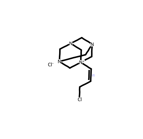 ClC/C=C\[N+]12CN3CN(CN(C3)C1)C2.[Cl-]